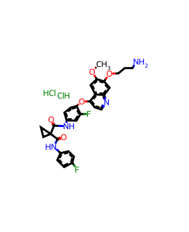 COc1cc2c(Oc3ccc(NC(=O)C4(C(=O)Nc5ccc(F)cc5)CC4)cc3F)ccnc2cc1OCCCN.Cl.Cl